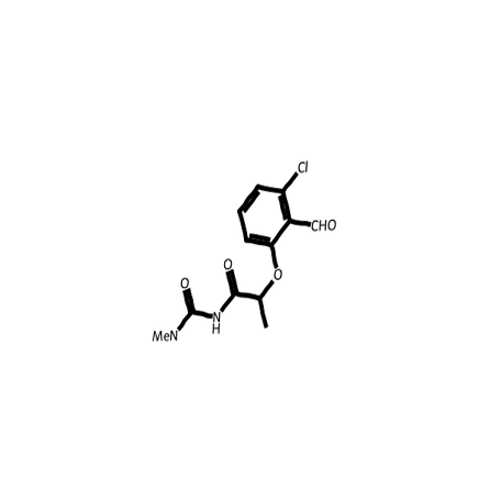 CNC(=O)NC(=O)C(C)Oc1cccc(Cl)c1C=O